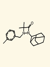 Cc1cccc(CN2N(C3C4CC5CC(C4)CC3C5)C(=O)C2(C)C)c1